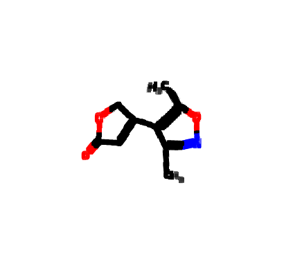 Cc1noc(C)c1C1=CC(=O)OC1